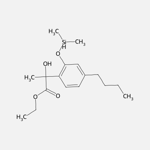 CCCCc1ccc(C(C)(O)C(=O)OCC)c(O[SiH](C)C)c1